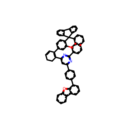 C1=CC(c2ccc3c(c2)Oc2ccccc2C32c3ccccc3-c3ccccc32)=C(c2cc(-c3ccc(-c4cccc5c4oc4ccccc45)cc3)nc(-c3ccccc3)n2)CC1